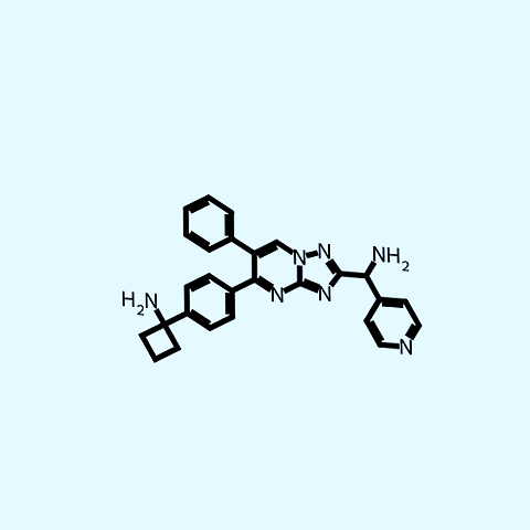 NC(c1ccncc1)c1nc2nc(-c3ccc(C4(N)CCC4)cc3)c(-c3ccccc3)cn2n1